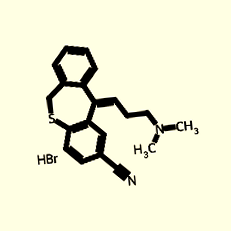 Br.CN(C)CCC=C1c2ccccc2CSc2ccc(C#N)cc21